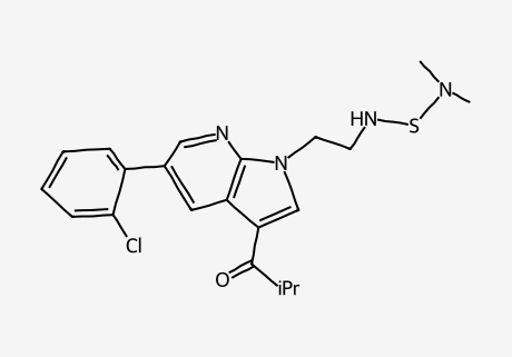 CC(C)C(=O)c1cn(CCNSN(C)C)c2ncc(-c3ccccc3Cl)cc12